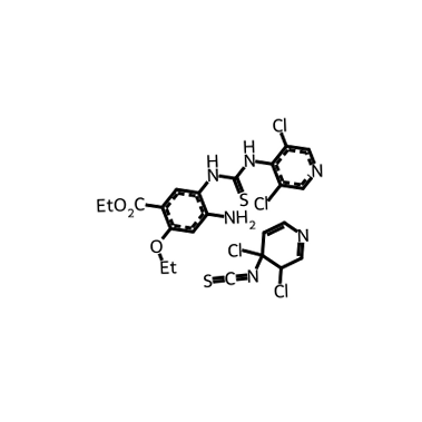 CCOC(=O)c1cc(NC(=S)Nc2c(Cl)cncc2Cl)c(N)cc1OCC.S=C=NC1(Cl)C=CN=CC1Cl